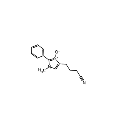 Cn1cc(CCCC#N)[n+]([O-])c1-c1ccccc1